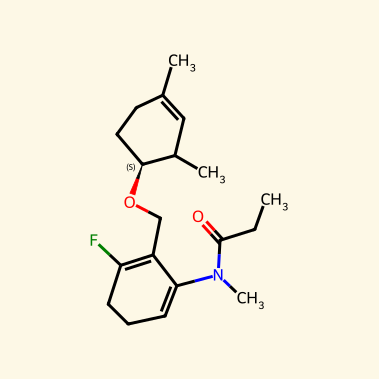 CCC(=O)N(C)C1=CCCC(F)=C1CO[C@H]1CCC(C)=CC1C